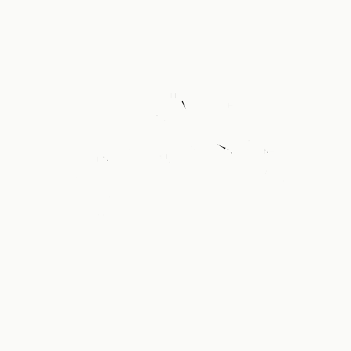 BC(B)(O[PH](=O)N[C@@H](C)C(=O)OC(C)C)C1O[C@H](n2cc(C)c(=S)[nH]c2=S)C(C)[C@@H]1O